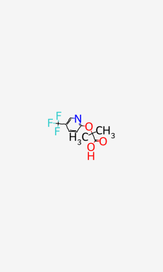 CC(C)(Oc1ccc(C(F)(F)F)cn1)C(=O)O